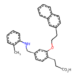 Cc1ccccc1NCc1ccc(CCC(=O)O)c(OCCc2ccc3ccccc3c2)c1